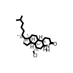 CC(C)CCC[C@@H](C)[C@H]1CC[C@H]2[C@@H]3[C@@H](CCl)C[C@H]4NC(=O)CC[C@]4(C)[C@H]3CC[C@]12C